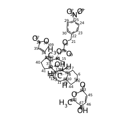 C[C@@H]1O[C@@H](O[C@H]2CC[C@@]3(C)[C@H](CC[C@@H]4[C@@H]3C[C@@H](OC(=O)OCc3ccc([N+](=O)[O-])cc3)[C@]3(C)[C@@H](C5=CC(=O)OC5)CC[C@]43O)C2)C=C[C@H]1O